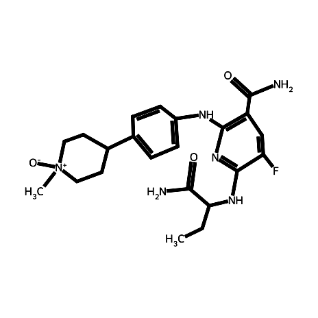 CCC(Nc1nc(Nc2ccc(C3CC[N+](C)([O-])CC3)cc2)c(C(N)=O)cc1F)C(N)=O